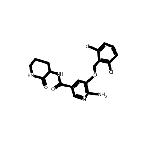 Nc1ncc(C(=O)NC2CCCNC2=O)cc1OCc1c(Cl)cccc1Cl